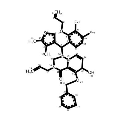 C=CCOc1c(C(c2csc(C)c2C)N2CN(CC=C)C(=O)C3=C(OCc4ccccc4)C(O)C=CN32)ccc(F)c1F